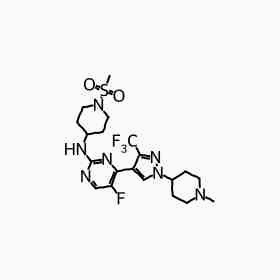 CN1CCC(n2cc(-c3nc(NC4CCN(S(C)(=O)=O)CC4)ncc3F)c(C(F)(F)F)n2)CC1